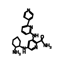 NC(=O)c1ncc(N[C@@H]2CCCC[C@@H]2N)cc1Nc1cccc(-c2ccncc2)n1